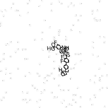 CCC1(c2ccc(-c3ccc(-c4nc(S(=O)(=O)Nc5cc(F)c(C(=O)O)cc5OC)cs4)c(F)c3F)cc2)CC2CC[C@@H](C2)C1